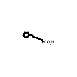 O=C(O)/C=C/C=CCCc1ccccc1